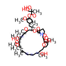 CO[C@@H]1C(=O)[C@H](C)C[C@H](C)\C=C/C=C/C=C(\C)C(O)CC2CC[C@@H](C)[C@@](O)(O2)C(=O)C(=O)N2CCCC[C@H]2C(=O)O[C@H](C(C)C[C@@H]2CC[C@@H](OC(=O)C(C)(CO)CO)[C@H](OC)C2)CC(=O)[C@H](C)/C=C(\C)[C@H]1O